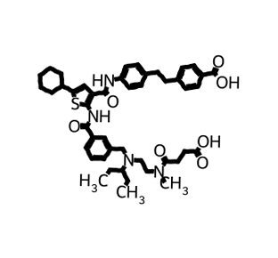 CCC(CC)N(CCN(C)C(=O)CCC(=O)O)Cc1cccc(C(=O)Nc2sc(C3CCCCC3)cc2C(=O)Nc2ccc(CCc3ccc(C(=O)O)cc3)cc2)c1